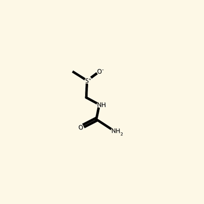 C[S+]([O-])CNC(N)=O